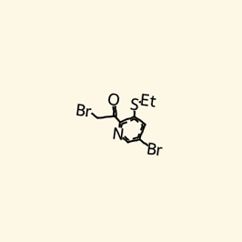 CCSc1cc(Br)cnc1C(=O)CBr